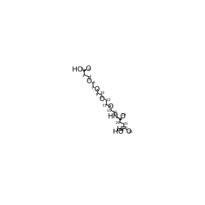 O=C(O)CCOCCOCCOCCOCCNC(=O)CC[PH](=O)O